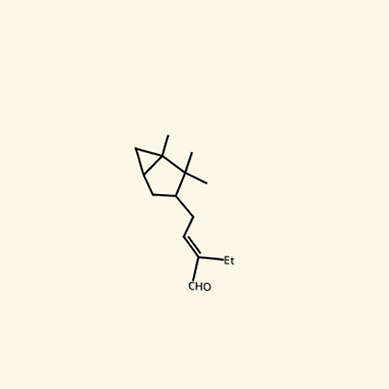 CC/C(C=O)=C\CC1CC2CC2(C)C1(C)C